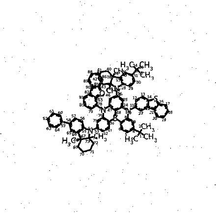 CC(C)(C)c1ccc2c(c1)N(c1ccc3sc4ccccc4c3c1)c1cc(N3c4ccc(C(C)(C)C)cc4C4(C)CCCCC34C)cc3c1B2c1ccc(N2c4ccc(-c5ccccc5)cc4C4(C)CCCCC24C)cc1N3c1cccc2c1oc1ccccc12